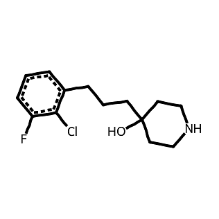 OC1(CCCc2cccc(F)c2Cl)CCNCC1